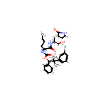 CCCC[C@H](NC(=O)O[C@H](c1ccccc1)C(C)(C)c1cccc(Cl)c1)C(=O)N[C@H](CO)C[C@H]1CCNC1=O